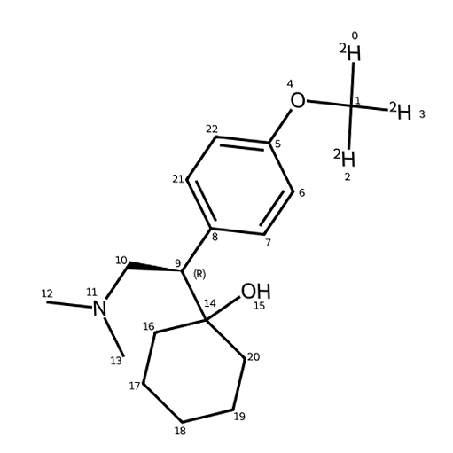 [2H]C([2H])([2H])Oc1ccc([C@H](CN(C)C)C2(O)CCCCC2)cc1